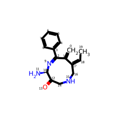 C=C1/C(c2ccccc2)=N\[C@H](N)C(=O)CNC/C1=C/C